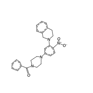 O=C(c1ccccc1)N1CCN(c2ccc([N+](=O)[O-])c(N3CCc4ccccc4C3)c2)CC1